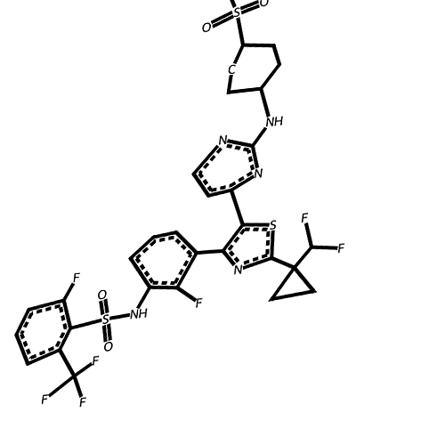 CS(=O)(=O)C1CCC(Nc2nccc(-c3sc(C4(C(F)F)CC4)nc3-c3cccc(NS(=O)(=O)c4c(F)cccc4C(F)(F)F)c3F)n2)CC1